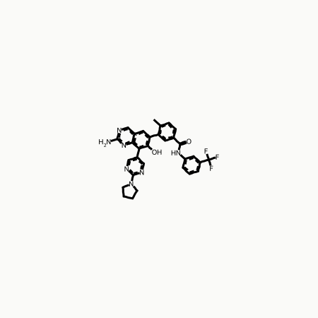 Cc1ccc(C(=O)Nc2cccc(C(F)(F)F)c2)cc1-c1cc2cnc(N)nc2c(-c2cnc(N3CCCC3)nc2)c1O